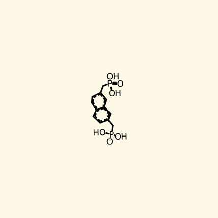 O=P(O)(O)Cc1ccc2ccc(CP(=O)(O)O)cc2c1